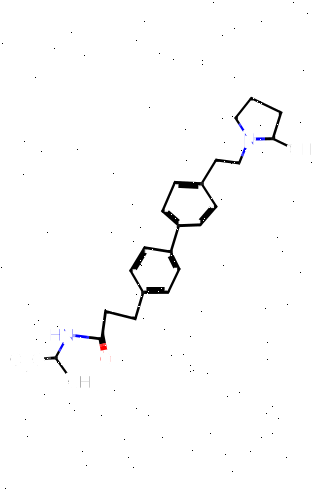 CC(NC(=O)CCc1ccc(-c2ccc(CCN3CCCC3C)cc2)cc1)C(=O)O